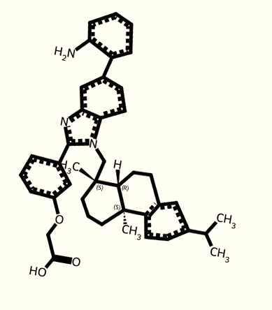 CC(C)c1ccc2c(c1)CC[C@H]1[C@@](C)(Cn3c(-c4cccc(OCC(=O)O)c4)nc4cc(-c5ccccc5N)ccc43)CCC[C@]21C